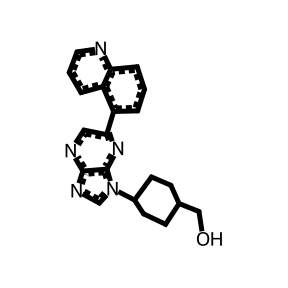 OCC1CCC(n2cnc3ncc(-c4cccc5ncccc45)nc32)CC1